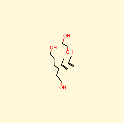 C=CC.C=CC.OCCCCCCO.OCCO